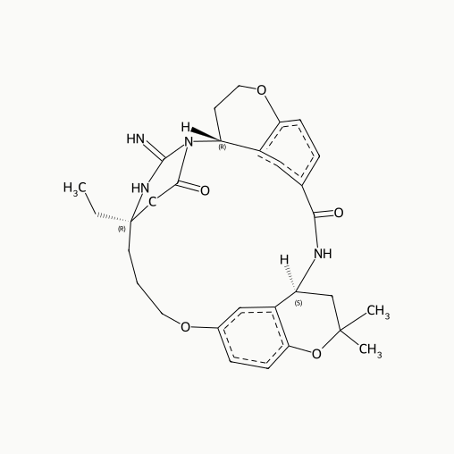 CC[C@]12CCCOc3ccc4c(c3)[C@H](CC(C)(C)O4)NC(=O)c3ccc4c(c3)[C@@H](CCO4)N(C(=N)N1)C(=O)C2